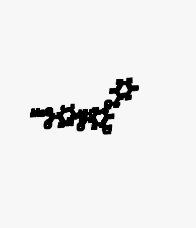 COC(=O)c1ccc(NC(=O)c2cc(Cl)cc(OCc3ccccc3)c2)nc1